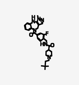 Cn1ncc2c1Nc1ccccc1N(C(=O)c1ccc(CNC(=O)C3CCN(CCC(C)(C)C)CC3)c(F)c1)C2